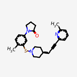 Cc1cccc(C#CC=C2CCN(Sc3cc(N4CCCC4=O)ccc3C)CC2)n1